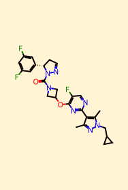 Cc1nn(CC2CC2)c(C)c1-c1ncc(F)c(OC2CN(C(=O)N3N=CC[C@H]3c3cc(F)cc(F)c3)C2)n1